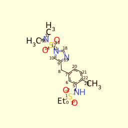 CCS(=O)(=O)Nc1cc(Cc2cn(S(=O)(=O)N(C)C)cn2)ccc1C